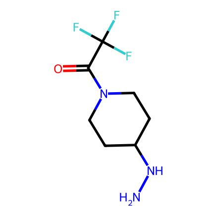 NNC1CCN(C(=O)C(F)(F)F)CC1